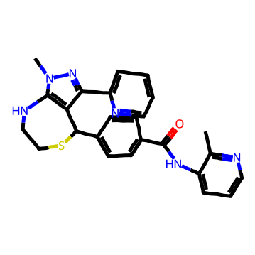 Cc1ncccc1NC(=O)c1ccc(C2SCCNc3c2c(-c2ccccn2)nn3C)cc1